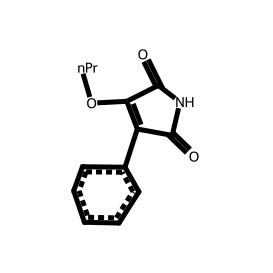 CCCOC1=C(c2ccccc2)C(=O)NC1=O